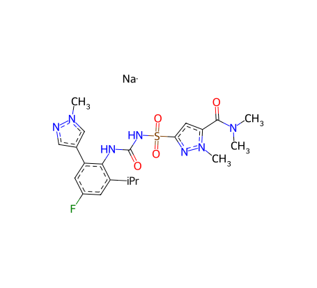 CC(C)c1cc(F)cc(-c2cnn(C)c2)c1NC(=O)NS(=O)(=O)c1cc(C(=O)N(C)C)n(C)n1.[Na]